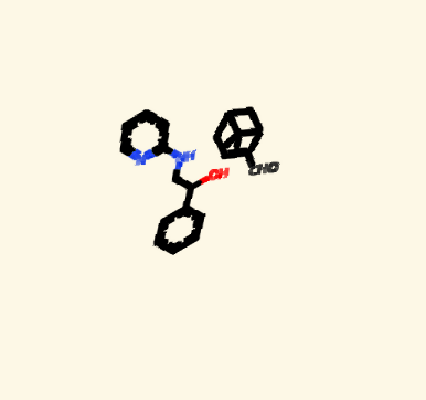 CC1(C)C2CC=C(C=O)C1C2.OC(CNc1ccccn1)c1ccccc1